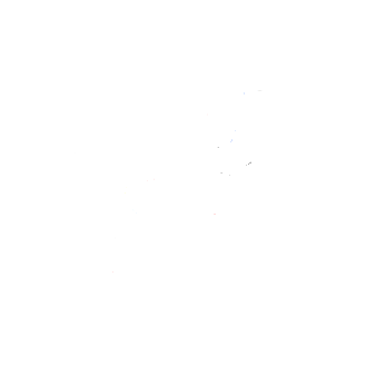 CC(C)OC(=O)[C@H](C)NP(=O)(OCC1O[C@@H](n2ccc(=O)[nH]c2=O)[C@](C)(F)C1O)Oc1ccccc1